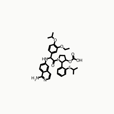 CCOc1cc(C(Nc2ccc3c(N)nccc3c2)C(=O)N2CCC(OC(=O)O)C2c2ccccc2SC(C)C)ccc1OC(C)C